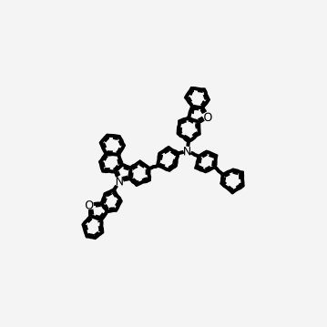 c1ccc(-c2ccc(N(c3ccc(-c4ccc5c(c4)c4c6ccccc6ccc4n5-c4ccc5c(c4)oc4ccccc45)cc3)c3ccc4c(c3)oc3ccccc34)cc2)cc1